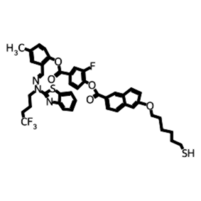 Cc1ccc(OC(=O)c2ccc(OC(=O)c3ccc4cc(OCCCCCCS)ccc4c3)c(F)c2)c(/C=N/N(CCCC(F)(F)F)c2nc3ccccc3s2)c1